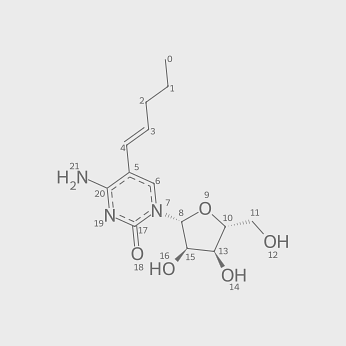 CCCC=Cc1cn([C@@H]2O[C@H](CO)[C@@H](O)[C@H]2O)c(=O)nc1N